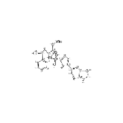 CC(C)(C)OC(=O)[C@]1(NS(=O)(=O)c2ccc(-c3ccc4c(c3)OCO4)s2)CC1(C)c1ccccc1